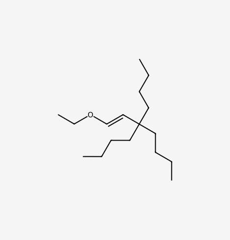 CCCCC(C=COCC)(CCCC)CCCC